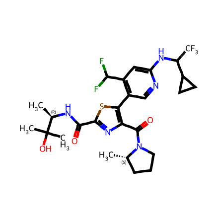 C[C@H]1CCCN1C(=O)c1nc(C(=O)N[C@H](C)C(C)(C)O)sc1-c1cnc(NC(C2CC2)C(F)(F)F)cc1C(F)F